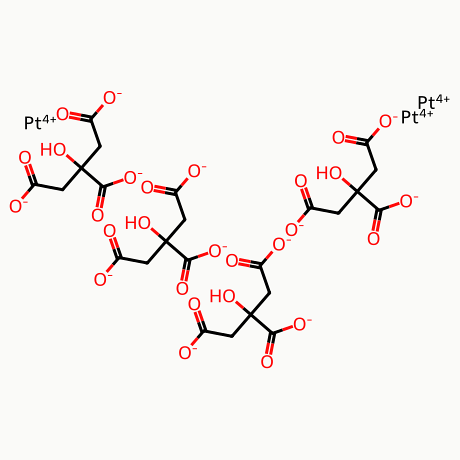 O=C([O-])CC(O)(CC(=O)[O-])C(=O)[O-].O=C([O-])CC(O)(CC(=O)[O-])C(=O)[O-].O=C([O-])CC(O)(CC(=O)[O-])C(=O)[O-].O=C([O-])CC(O)(CC(=O)[O-])C(=O)[O-].[Pt+4].[Pt+4].[Pt+4]